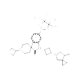 CC1(C)OB(c2ccc3c(c2)N([C@H]2C[C@@H](N4CC(F)C5(CC5)C4)C2)C(=O)C32CCN(C3COC3)CC2)OC1(C)C